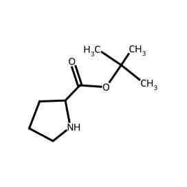 CC(C)(C)OC(=O)C1CCCN1